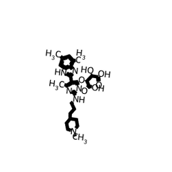 Cc1cc(C)c2nc(-c3c(C)nc(NCCCC4CCN(C)CC4)nc3O[C@@H](C(=O)O)[C@@H](O)C(=O)O)[nH]c2c1